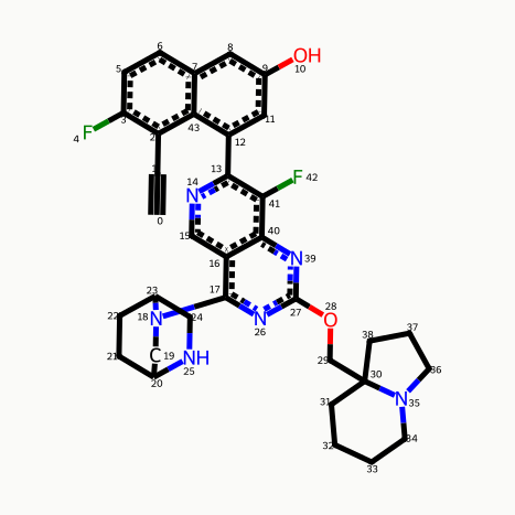 C#Cc1c(F)ccc2cc(O)cc(-c3ncc4c(N5CC6CCC5CN6)nc(OCC56CCCCN5CCC6)nc4c3F)c12